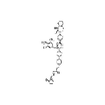 Nc1c(Cl)cc(C[C@@H](OC(=O)N2CCC(N3CCc4ccccc4NC3=O)CC2)C(=O)N2CCC(C3CCN(CCC(=O)OCCN4CCCC4=O)CC3)CC2)cc1C(F)(F)F